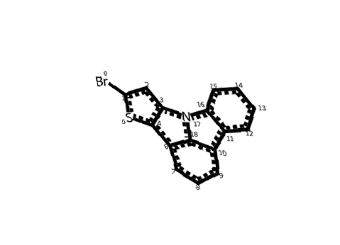 Brc1cc2c(s1)c1cccc3c4ccccc4n2c31